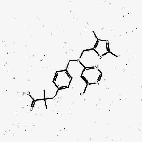 Cc1nc(C)c(CN(Cc2ccc(SC(C)(C)C(=O)O)cc2)c2cc(Cl)ncn2)s1